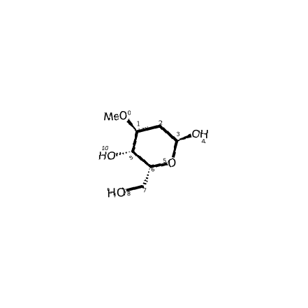 CO[C@H]1C[C@@H](O)O[C@H](CO)[C@@H]1O